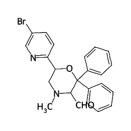 CN1CC(c2ccc(Br)cn2)OC(c2ccccc2)(c2ccccc2)C1C=O